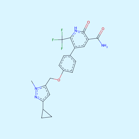 Cn1nc(C2CC2)cc1COc1ccc(-c2cc(C(N)=O)c(=O)[nH]c2C(F)(F)F)cc1